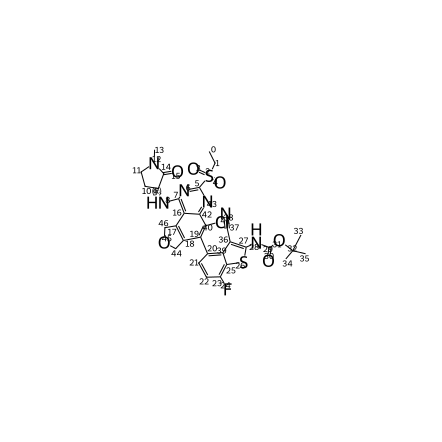 CCS(=O)(=O)c1nc(N[C@@H]2CCN(C)C2=O)c2c3c(c(-c4ccc(F)c5sc(NC(=O)OC(C)(C)C)c(C#N)c45)c(Cl)c2n1)COC3